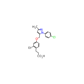 CCc1cc(OCc2cc(C)nn2-c2ccc(Cl)cc2)ccc1CCC(=O)O